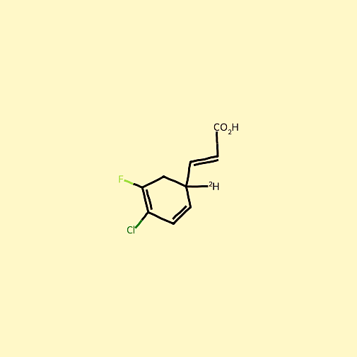 [2H]C1(C=CC(=O)O)C=CC(Cl)=C(F)C1